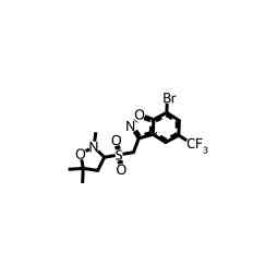 CN1OC(C)(C)CC1S(=O)(=O)Cc1noc2c(Br)cc(C(F)(F)F)cc12